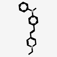 CCN1C=CC(C=Cc2ccc(N(C)c3ccccc3)cc2)=CC1